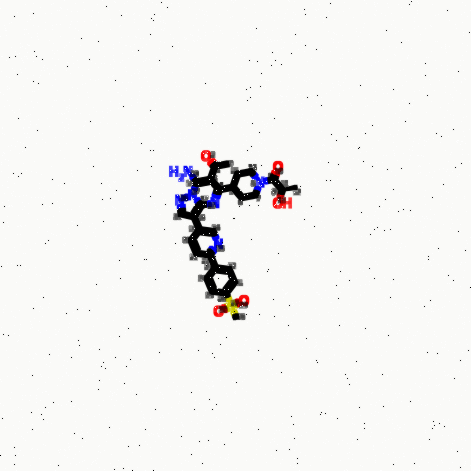 CC(=O)c1c(C2CCN(C(=O)[C@@H](C)O)CC2)nc2c(-c3ccc(-c4ccc(S(C)(=O)=O)cc4)nc3)cnn2c1N